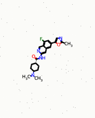 Cc1ncc(-c2cc(F)c3cnc(NC(=O)[C@H]4CC[C@H](N(C)C)CC4)cc3c2)o1